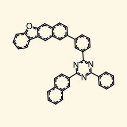 c1ccc(-c2nc(-c3cccc(-c4ccc5cc6oc7ccccc7c6cc5c4)c3)nc(-c3ccc4ccccc4c3)n2)cc1